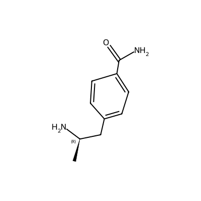 C[C@@H](N)Cc1ccc(C(N)=O)cc1